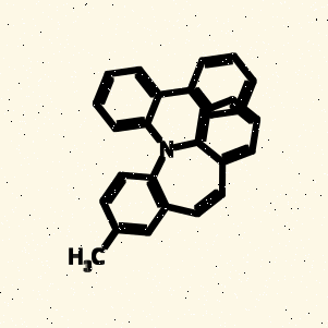 Cc1ccc2c(c1)C=Cc1ccccc1N2c1ccccc1-c1ccccc1